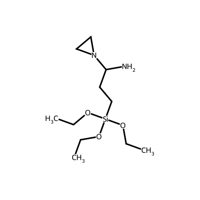 CCO[Si](CCC(N)N1CC1)(OCC)OCC